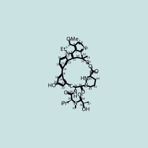 CCn1c(-c2cnccc2COC)c2c3cc(ccc31)-c1cc(O)cc(c1)C[C@H](NC(=O)[C@H](C(C)C)N(C)C(=O)[C@@H](C)O)C(=O)N1CCC[C@H](N1)C(=O)OCC(C)(C)C2